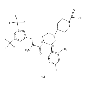 Cc1cc(F)ccc1[C@@H]1CN(C2CCN(C(=O)O)CC2)CC[C@H]1C(=O)N(C)Cc1cc(C(F)(F)F)cc(C(F)(F)F)c1.Cl